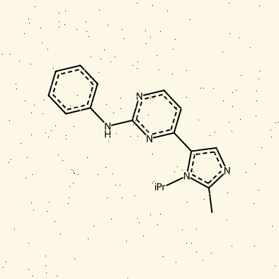 Cc1ncc(-c2ccnc(Nc3ccccc3)n2)n1C(C)C